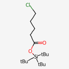 CC(C)(C)[Si](OC(=O)CCCCCl)(C(C)(C)C)C(C)(C)C